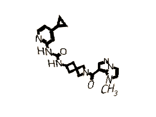 Cn1ccn2ncc(C(=O)N3CC4(CC(NC(=O)Nc5cc(C6CC6)ccn5)C4)C3)c12